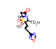 C[C@]1(C=Cc2ncon2)[C@H](C(=O)O)N2C(=O)C[C@H]2S1(=O)=O